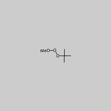 COOOC(C)(C)C